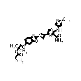 Cn1cc(Nc2ncc(C3CN(c4nc5ccc(OCC(C)(C)OC(=O)CN)cc5o4)C3)nc2C(N)=O)cn1